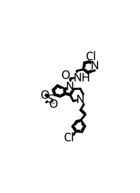 CS(=O)(=O)c1ccc2c(c1)c1c(n2C(=O)NCc2ccnc(Cl)c2)CCN(CC=Cc2ccc(Cl)cc2)C1